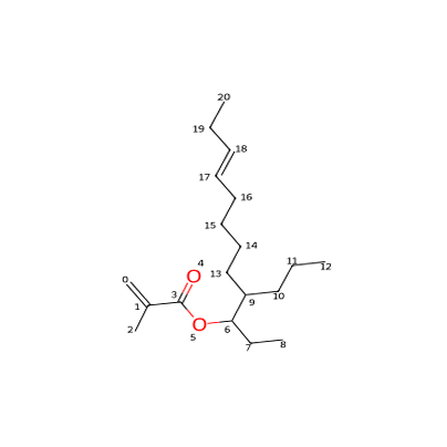 C=C(C)C(=O)OC(CC)C(CCC)CCCCC=CCC